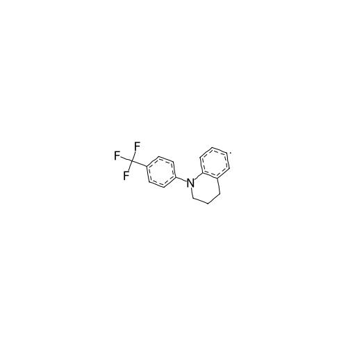 FC(F)(F)c1ccc(N2CCCc3c[c]ccc32)cc1